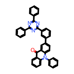 O=c1c2ccccc2n(-c2ccccc2)c2ccc(-c3cccc(-c4nc(-c5ccccc5)nc(-c5ccccc5)n4)c3)cc12